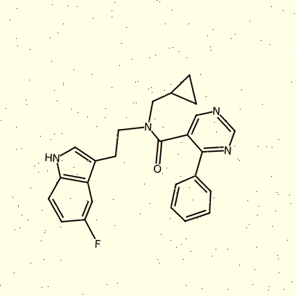 O=C(c1cncnc1-c1ccccc1)N(CCc1c[nH]c2ccc(F)cc12)CC1CC1